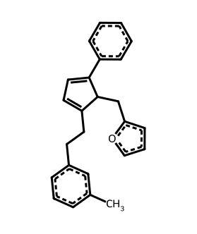 Cc1cccc(CCC2=CC=C(c3ccccc3)C2Cc2ccco2)c1